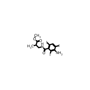 COC(=O)C(C)CNC(=O)c1c(I)cc(I)c(N)c1I